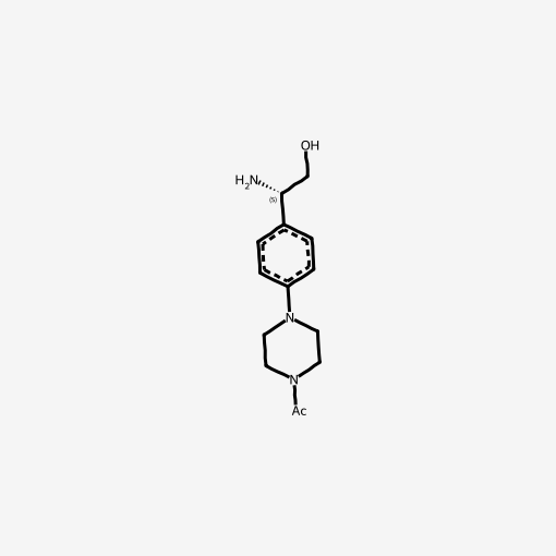 CC(=O)N1CCN(c2ccc([C@H](N)CO)cc2)CC1